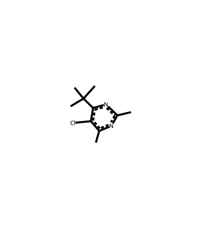 Cc1nc(C)c(Cl)c(C(C)(C)C)n1